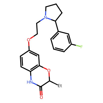 CCC1Oc2cc(OCCN3CCCC3c3cccc(F)c3)ccc2NC1=O